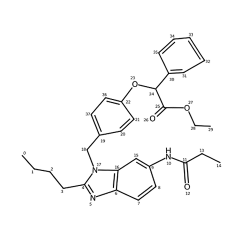 CCCCc1nc2ccc(NC(=O)CC)cc2n1Cc1ccc(OC(C(=O)OCC)c2ccccc2)cc1